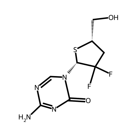 Nc1ncn([C@@H]2S[C@H](CO)CC2(F)F)c(=O)n1